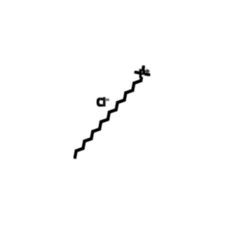 CCCCCCCCCCCCCCCCC[P+](C)(C)C.[Cl-]